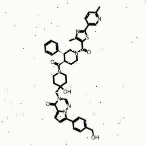 Cc1ccc(-c2nc(C)c(C(=O)N3CC[C@@H](C(=O)N4CCC(O)(Cn5cnn6c(-c7ccc(CO)cc7)ccc6c5=O)CC4)[C@H](c4ccccc4)C3)s2)cn1